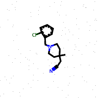 CC1(CC#N)CCN(Cc2ccccc2Cl)CC1